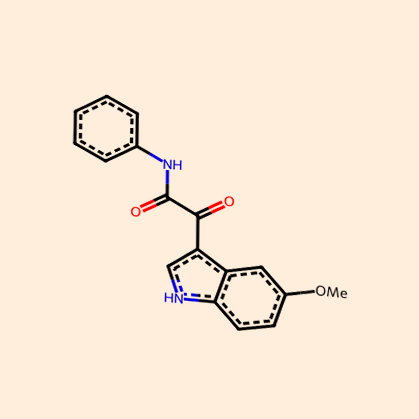 COc1ccc2[nH]cc(C(=O)C(=O)Nc3ccccc3)c2c1